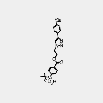 CC(C)(Oc1ccc(C(=O)OCCn2cc(-c3ccc(C(C)(C)C)cc3)nn2)cc1)C(=O)O